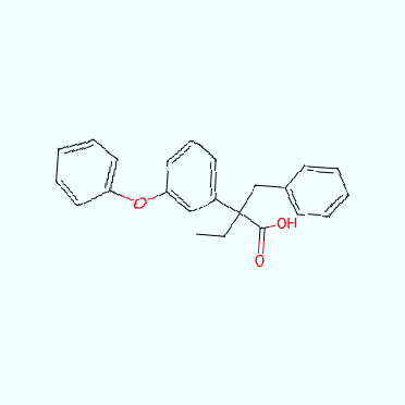 CCC(Cc1ccccc1)(C(=O)O)c1cccc(Oc2ccccc2)c1